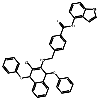 O=C(Nc1cccc2[nH]ccc12)c1ccc(CNC2=C(Cl)C(Oc3ccccc3)c3ccccc3C2Oc2ccccc2)cc1